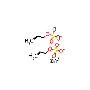 C=CCOS(=O)(=O)[O-].C=CCOS(=O)(=O)[O-].[Zn+2]